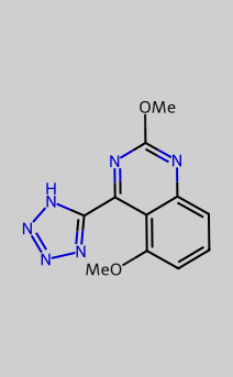 COc1nc(-c2nnn[nH]2)c2c(OC)cccc2n1